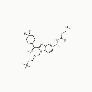 C[C@@H](NC(=O)CCC(F)(F)F)c1ccc2c(c1)nc([C@@H](N)C1CCC(F)(F)CC1)n2COCC[Si](C)(C)C